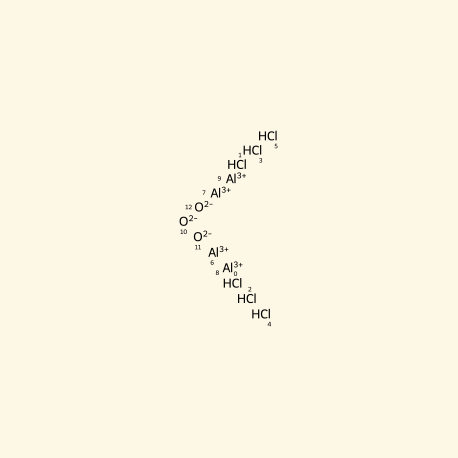 Cl.Cl.Cl.Cl.Cl.Cl.[Al+3].[Al+3].[Al+3].[Al+3].[O-2].[O-2].[O-2]